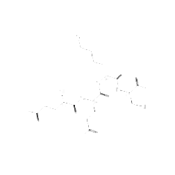 NCCCC[C@@H](NC(=O)[C@@H](CCC(=O)O)NC(=O)[C@H](N)CCC(=O)O)C(=O)N[C@H](CN)C(=O)O